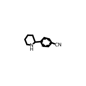 N#Cc1c[c]c(C2CCCCN2)cc1